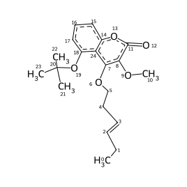 CCC=CCCOc1c(OC)c(=O)oc2cccc(OC(C)(C)C)c12